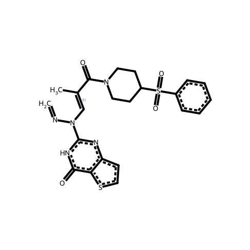 C=NN(/C=C(\C)C(=O)N1CCC(S(=O)(=O)c2ccccc2)CC1)c1nc2ccsc2c(=O)[nH]1